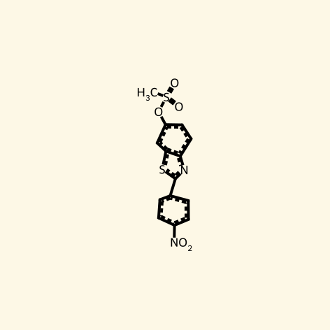 CS(=O)(=O)Oc1ccc2nc(-c3ccc([N+](=O)[O-])cc3)sc2c1